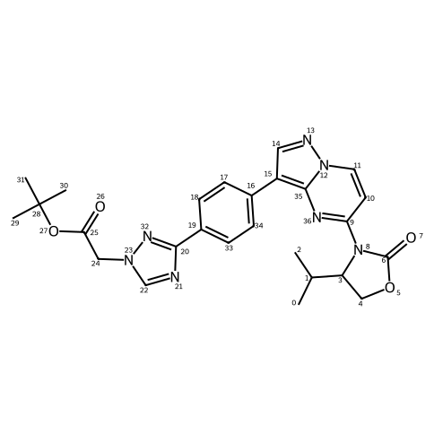 CC(C)C1COC(=O)N1c1ccn2ncc(-c3ccc(-c4ncn(CC(=O)OC(C)(C)C)n4)cc3)c2n1